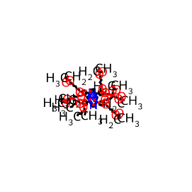 C=C(C)C(=O)OCCCCCCOc1ccc(-c2c3nc(c(-c4ccc(OCCCCCCOC(=O)C(=C)C)c(OCCCCCCOC(=O)C(=C)C)c4)c4ccc5c(-c6ccc(OCC(CC)CCCC)c(OCC(CC)CCCC)c6)c6nc(c(-c7ccc(OCCCCCCOC(=O)C(=C)C)c(OCCCCCCOC(=O)C(=C)C)c7)c7ccc2n7n45)C=C6)C=C3)cc1OCCCCCCOC(=O)C(=C)C